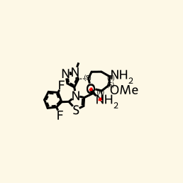 CO[C@H]1[C@H](N)CC[C@@H](c2c(N3C(C(N)=O)=CSC3c3c(F)cccc3F)cnn2C)O[C@@H]1C